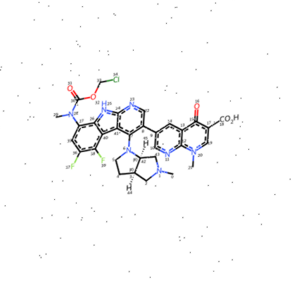 CN1C[C@H]2CCN(c3c(-c4cnc5c(c4)c(=O)c(C(=O)O)cn5C)cnc4[nH]c5c(N(C)C(=O)OCCl)cc(F)c(F)c5c34)[C@H]2C1